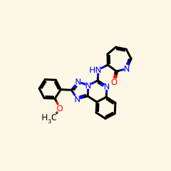 COc1ccccc1-c1nc2c3ccccc3nc(Nc3ccccnc3=O)n2n1